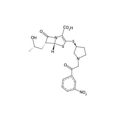 C[C@H](O)C[C@@H]1C(=O)N2C(C(=O)O)=C(S[C@H]3CCN(CC(=O)c4cccc([N+](=O)[O-])c4)C3)S[C@H]12